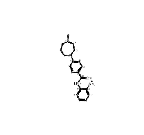 CN1CCCN(c2ccc(C(=O)Nc3ccccc3N)cc2)CC1